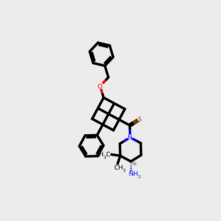 CC1(C)CN(C(=S)C23CC4C(OCc5ccccc5)C5CC(c6ccccc6)(C2)C453)CC[C@@H]1N